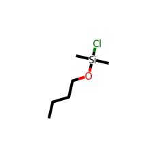 CCCCO[Si](C)(C)Cl